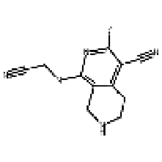 N#CCNc1nc(Cl)c(C#N)c2c1CNCC2